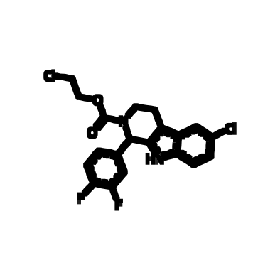 O=C(OCCCl)N1CCc2c([nH]c3ccc(Cl)cc23)C1c1ccc(F)c(F)c1